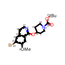 COc1cc2c(OC3CCN(C(=O)OC(C)(C)C)CC3)nccc2cc1Br